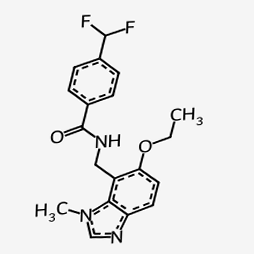 CCOc1ccc2ncn(C)c2c1CNC(=O)c1ccc(C(F)F)cc1